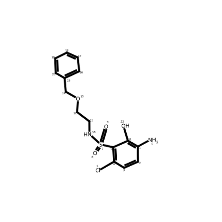 Nc1ccc(Cl)c(S(=O)(=O)NCCOCc2ccccc2)c1O